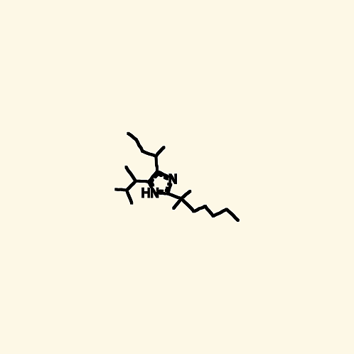 CCCCCC(C)(C)c1nc(C(C)CCC)c(C(C)C(C)C)[nH]1